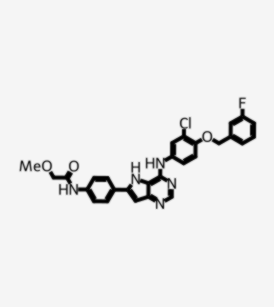 COCC(=O)Nc1ccc(-c2cc3ncnc(Nc4ccc(OCc5cccc(F)c5)c(Cl)c4)c3[nH]2)cc1